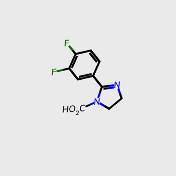 O=C(O)N1CCN=C1c1ccc(F)c(F)c1